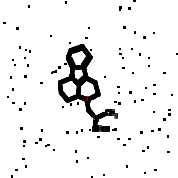 CCCCCCN(C)CCC12CCCn3c1c(c1ccccc13)CCO2